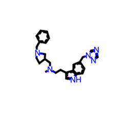 CN(CCc1c[nH]c2ccc(Cn3cncn3)cc12)CC1CCN(Cc2ccccc2)C1